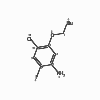 CCC(C)COc1cc(N)c(F)cc1Cl